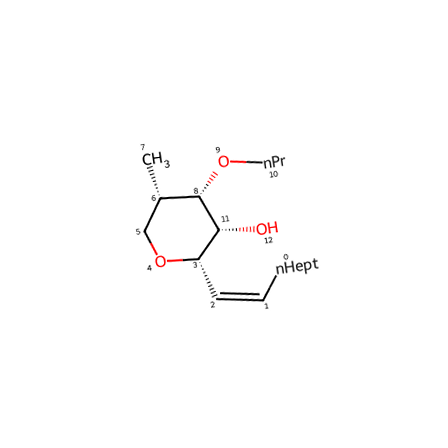 CCCCCCC/C=C\[C@@H]1OC[C@H](C)[C@H](OCCC)[C@@H]1O